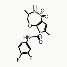 CC1=CC2=C(OCC(C)NS2(=O)=O)[SH]1C(=O)Nc1ccc(F)c(F)c1